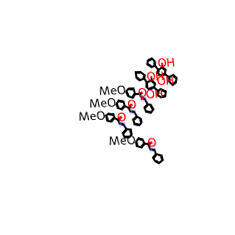 COc1ccc(C(=O)/C=C/c2ccccc2)cc1.COc1ccc(C(=O)/C=C/c2ccccc2)cc1.COc1ccc(C(=O)/C=C/c2ccccc2)cc1.COc1ccc(C(=O)/C=C/c2ccccc2)cc1.Oc1cc(-c2ccccc2)c(O)cc1-c1ccccc1.Oc1cc(-c2ccccc2)c(O)cc1-c1ccccc1